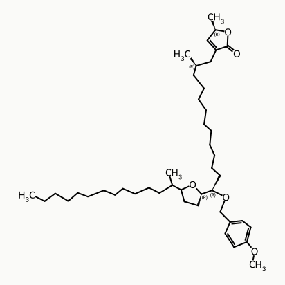 CCCCCCCCCCCCC(C)C1CC[C@H]([C@@H](CCCCCCCCCC[C@@H](C)CC2=C[C@@H](C)OC2=O)OCc2ccc(OC)cc2)O1